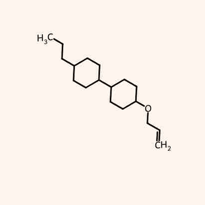 C=CCOC1CCC(C2CCC(CCC)CC2)CC1